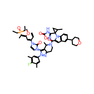 C=C/C(=C\C(OC)=C(/C)P(=O)(CC)CC)n1ccn(-c2c3c(nn2-c2cc(C)c(F)c(C)c2)CCN(C(=O)c2cc4cc(C5CCOCC5)ccc4n2C2(c4noc(=O)[nH]4)CC2C)C3C)c1=O